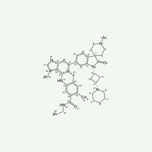 CC(=O)N1CCC2(CC1)C(=O)N([C@H]1C[C@@H](N3CCCCC3)C1)c1cc(-c3cc4ncn(C(C)C)c4c(Nc4cc(C(=O)NCC(C)C)c(C)cc4F)n3)ccc12